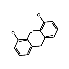 [O]c1cccc2c1Oc1c([O])cccc1C2